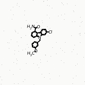 COc1cccc(Cn2c3cc(Cl)c[c]c3c3c(C(N)=O)cccc32)c1